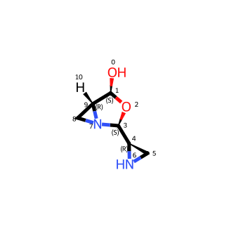 O[C@H]1O[C@@H]([C@H]2CN2)N2C[C@H]12